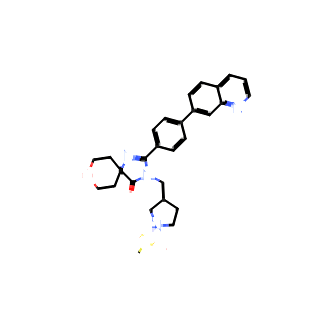 CS(=O)(=O)N1CCC(CN2C(=O)C3(CCOCC3)N=C2c2ccc(-c3ccc4cccnc4c3)cc2)C1